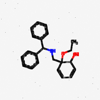 CCOC1(CNC(c2ccccc2)c2ccccc2)C=CC=CC1O